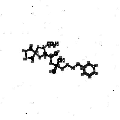 O=C(O)C1CC2(CN1C(=O)CP(=O)(O)CCCCc1ccccc1)SCCS2